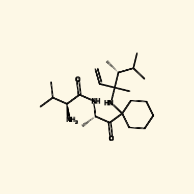 C=CC(C)(NC1(C(=O)[C@H](C)NC(=O)[C@@H](N)C(C)C)CCCCC1)[C@H](C)C(C)C